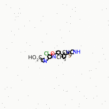 Cc1c(-c2nc3cc(CN4CC[C@@H](C(=O)O)C4)cc(Cl)c3o2)cccc1-c1cccc(-c2nc3c(s2)CNCC3)c1C